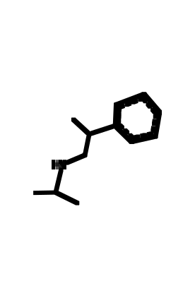 CC(C)NCC(C)c1ccccc1